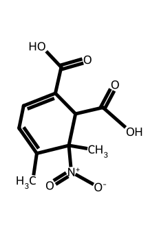 CC1=CC=C(C(=O)O)C(C(=O)O)C1(C)[N+](=O)[O-]